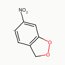 O=[N+]([O-])c1[c]cc2c(c1)OOC2